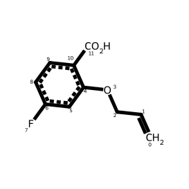 C=CCOc1cc(F)ccc1C(=O)O